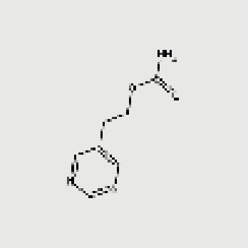 NC(=O)OCCc1cncnc1